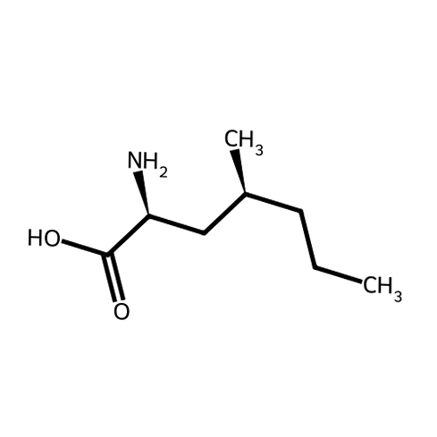 CCC[C@H](C)C[C@H](N)C(=O)O